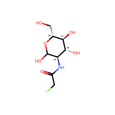 O=C(CF)N[C@H]1C(O)O[C@H](CO)[C@@H](O)[C@@H]1O